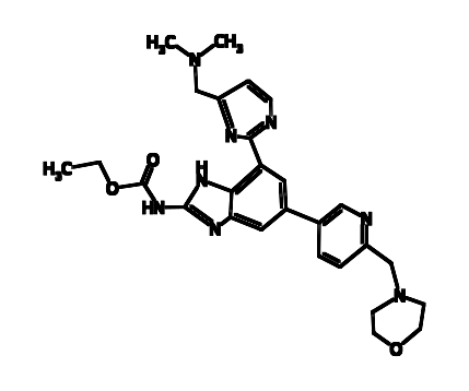 CCOC(=O)Nc1nc2cc(-c3ccc(CN4CCOCC4)nc3)cc(-c3nccc(CN(C)C)n3)c2[nH]1